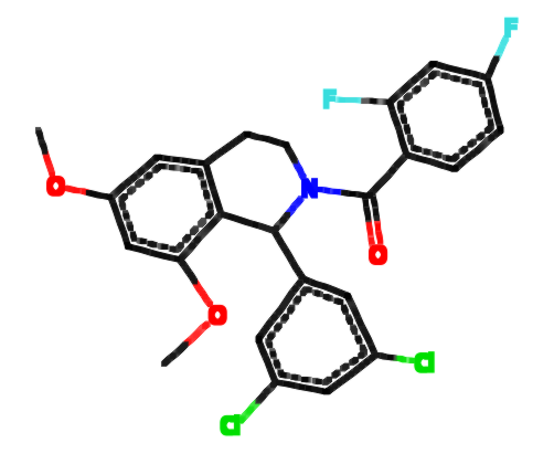 COc1cc2c(c(OC)c1)C(c1cc(Cl)cc(Cl)c1)N(C(=O)c1ccc(F)cc1F)CC2